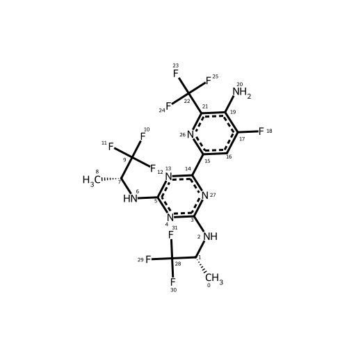 C[C@@H](Nc1nc(N[C@H](C)C(F)(F)F)nc(-c2cc(F)c(N)c(C(F)(F)F)n2)n1)C(F)(F)F